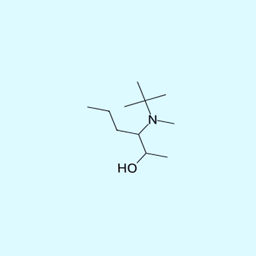 CCCC(C(C)O)N(C)C(C)(C)C